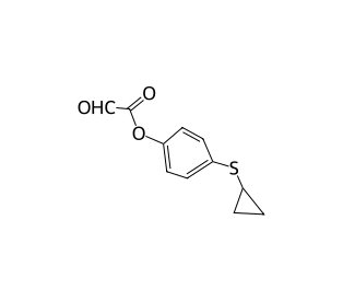 O=CC(=O)Oc1ccc(SC2CC2)cc1